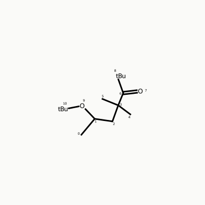 CC(CC(C)(C)C(=O)C(C)(C)C)OC(C)(C)C